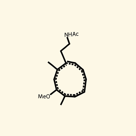 COc1cc(C)c(CCNC(C)=O)cccccc1C